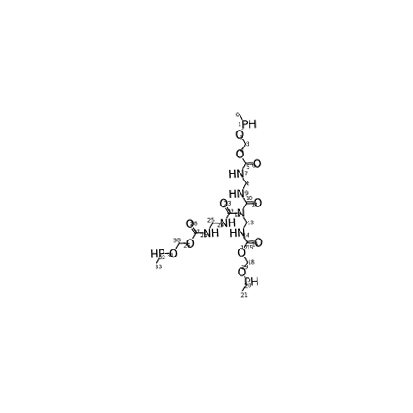 CPOCOC(=O)NCNC(=O)N(CNC(=O)OCOPC)C(=O)NCNC(=O)OCOPC